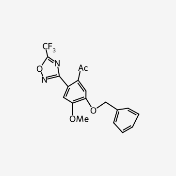 COc1cc(-c2noc(C(F)(F)F)n2)c(C(C)=O)cc1OCc1ccccc1